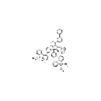 CC1(C)c2ccccc2-c2c(-c3cccc(C4(c5cccc(-c6cccc7c6-c6ccccc6C7(C)C)c5)c5cc6c(cc5-c5c(-c7cccc(-c8ccccc8)c7)cccc54)OCO6)c3)cccc21